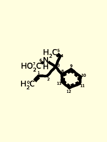 C=CCC(C=C)(NC(=O)O)c1ccccc1